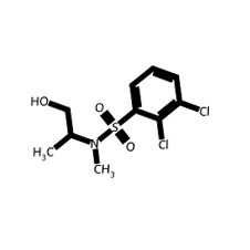 CC(CO)N(C)S(=O)(=O)c1cccc(Cl)c1Cl